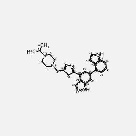 CC(C)N1CCN(CC2=CN=C(c3cc(-c4cccc5[nH]ccc45)cc4[nH]ncc34)C2)CC1